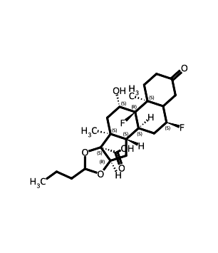 CCCC1O[C@@H]2C[C@H]3[C@@H]4C[C@H](F)C5CC(=O)CC[C@]5(C)[C@@]4(F)[C@@H](O)C[C@]3(C)[C@]2(C(=O)O)O1